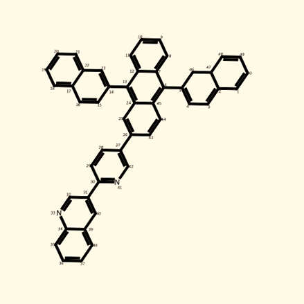 C1=CC2=CC=C(c3c4ccccc4c(-c4ccc5ccccc5c4)c4cc(-c5ccc(-c6cnc7ccccc7c6)nc5)ccc34)CC2C=C1